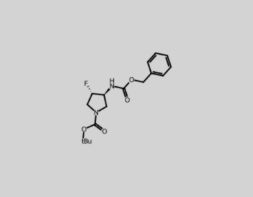 CC(C)(C)OC(=O)N1C[C@H](NC(=O)OCc2ccccc2)[C@@H](F)C1